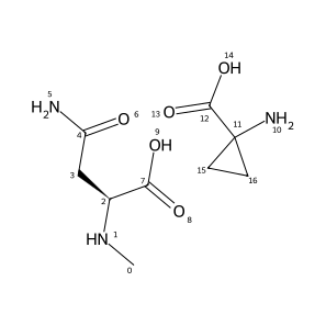 CN[C@@H](CC(N)=O)C(=O)O.NC1(C(=O)O)CC1